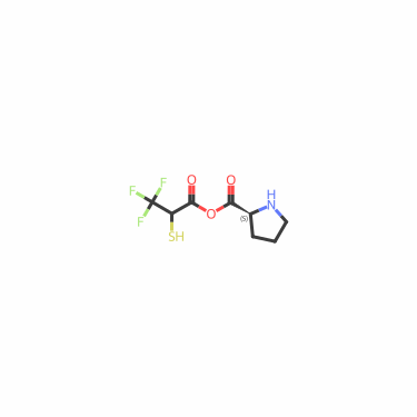 O=C(OC(=O)[C@@H]1CCCN1)C(S)C(F)(F)F